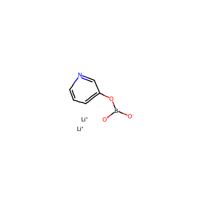 [Li+].[Li+].[O-]B([O-])Oc1cccnc1